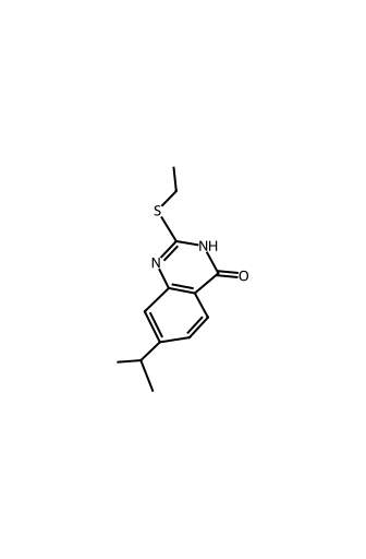 CCSc1nc2cc(C(C)C)ccc2c(=O)[nH]1